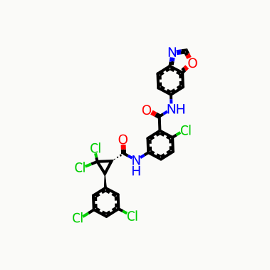 O=C(Nc1ccc2ncoc2c1)c1cc(NC(=O)[C@@H]2[C@@H](c3cc(Cl)cc(Cl)c3)C2(Cl)Cl)ccc1Cl